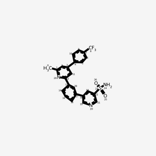 Cc1cc(-c2ccc(C(F)(F)F)cc2)cc(-c2cccc(-c3cncc(S(N)(=O)=O)c3)c2)n1